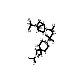 CC(C)N1CC2(CCN(C(C)(C)CC(C)N3CC4CC3CN4C(C)C)CC2)C1